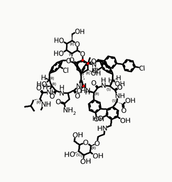 CN[C@H](CC(C)C)C(=O)N[C@H]1C(=O)NC(CC(N)=O)C(=O)N[C@H]2C(=O)N[C@H]3C(=O)N[C@H](C(=O)N[C@H](C(=O)O)c4cc(O)c(CNCCO[C@@H]5OC(CO)[C@@H](O)[C@H](O)C5O)c(O)c4-c4cc3ccc4O)[C@H](O)c3ccc(c(Cl)c3)Oc3cc2cc(c3OC2O[C@H](CO)C(O)C(O)[C@H]2O[C@@H]2C[C@@H](C)[C@@H](O)C(C)(NCc3ccc(-c4ccc(Cl)cc4)cc3)C2)Oc2ccc(cc2Cl)[C@H]1O